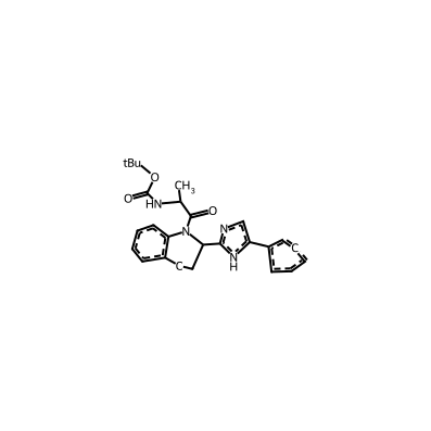 CC(NC(=O)OC(C)(C)C)C(=O)N1c2ccccc2CCC1c1ncc(-c2ccccc2)[nH]1